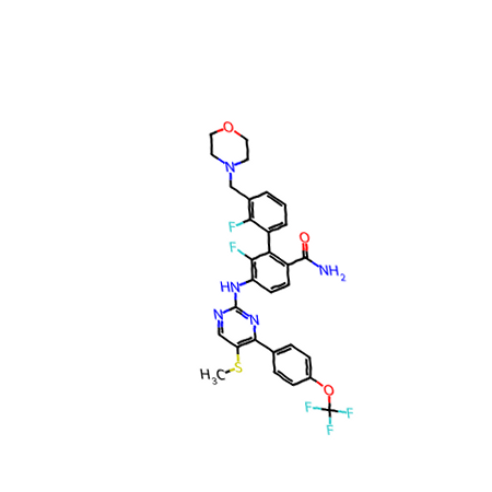 CSc1cnc(Nc2ccc(C(N)=O)c(-c3cccc(CN4CCOCC4)c3F)c2F)nc1-c1ccc(OC(F)(F)F)cc1